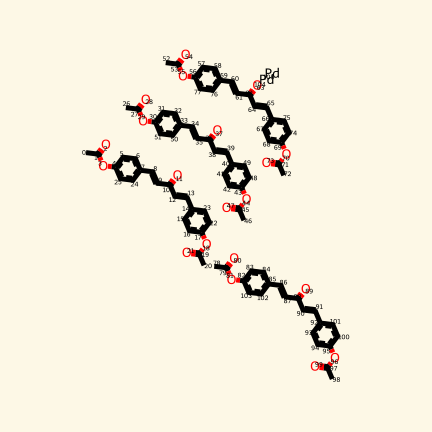 CC(=O)Oc1ccc(C=CC(=O)C=Cc2ccc(OC(C)=O)cc2)cc1.CC(=O)Oc1ccc(C=CC(=O)C=Cc2ccc(OC(C)=O)cc2)cc1.CC(=O)Oc1ccc(C=CC(=O)C=Cc2ccc(OC(C)=O)cc2)cc1.CC(=O)Oc1ccc(C=CC(=O)C=Cc2ccc(OC(C)=O)cc2)cc1.[Pd].[Pd]